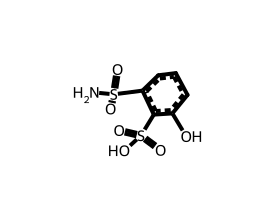 NS(=O)(=O)c1cccc(O)c1S(=O)(=O)O